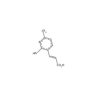 CCCc1nc(C(F)(F)F)ccc1/C=C/C(=O)O